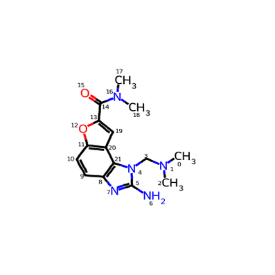 CN(C)Cn1c(N)nc2ccc3oc(C(=O)N(C)C)cc3c21